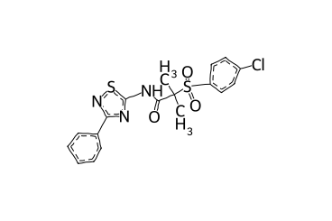 CC(C)(C(=O)Nc1nc(-c2ccccc2)ns1)S(=O)(=O)c1ccc(Cl)cc1